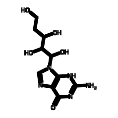 Nc1nc(=O)c2ncn(C(O)C(O)C(O)CCO)c2[nH]1